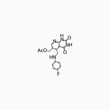 CC(=O)OCc1cnc2[nH]c(=O)[nH]c(=O)c2c1CNc1ccc(F)cc1